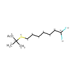 CC(=O)OC(C)(C)SCCCCCCC(F)F